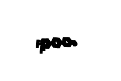 C=CC1CCC(C2=CCC(c3ccc(F)c(F)c3)CC2)CC1